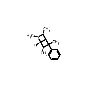 C[C@H]1C2[C@H]([C@H](C)C2(C)c2ccccc2)N1C